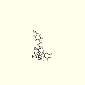 CC(C)(O)CC1(c2ccccc2)CCN(CCc2ccc(Br)cc2)C(=O)O1